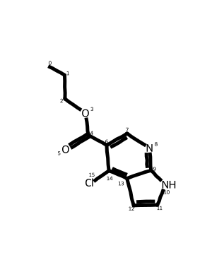 CCCOC(=O)c1cnc2[nH]ccc2c1Cl